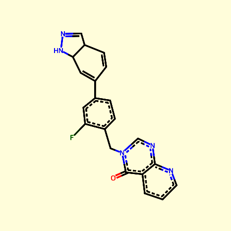 O=c1c2cccnc2ncn1Cc1ccc(C2=CC3NN=CC3C=C2)cc1F